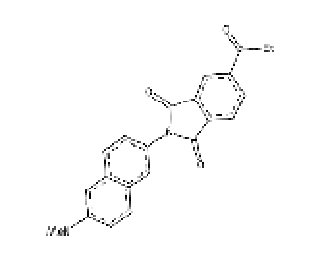 CCC(=O)c1ccc2c(c1)C(=O)N(c1ccc3cc(NC)ccc3c1)C2=O